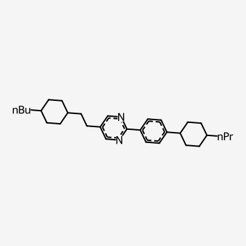 CCCCC1CCC(CCc2cnc(-c3ccc(C4CCC(CCC)CC4)cc3)nc2)CC1